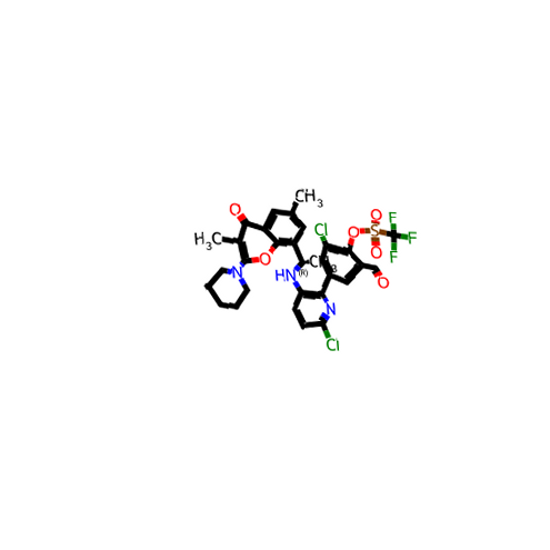 Cc1cc([C@@H](C)Nc2ccc(Cl)nc2-c2cc(Cl)c(OS(=O)(=O)C(F)(F)F)c(C=O)c2)c2oc(N3CCCCC3)c(C)c(=O)c2c1